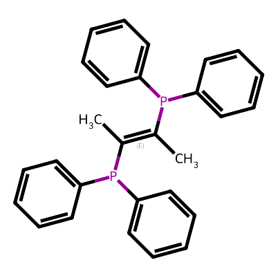 C/C(=C(/C)P(c1ccccc1)c1ccccc1)P(c1ccccc1)c1ccccc1